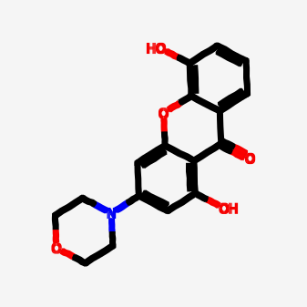 O=c1c2cccc(O)c2oc2cc(N3CCOCC3)cc(O)c12